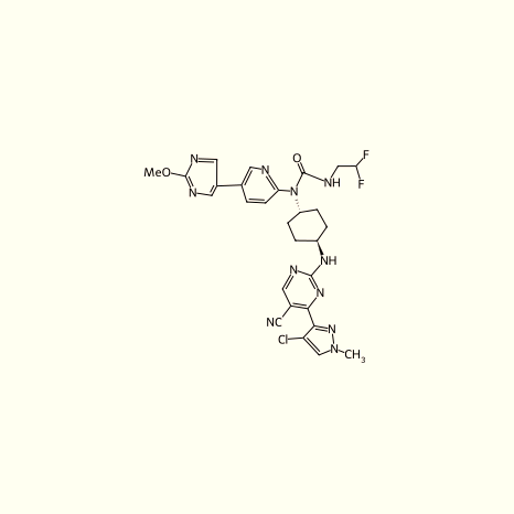 COc1ncc(-c2ccc(N(C(=O)NCC(F)F)[C@H]3CC[C@H](Nc4ncc(C#N)c(-c5nn(C)cc5Cl)n4)CC3)nc2)cn1